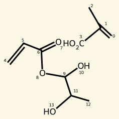 C=C(C)C(=O)O.C=CC(=O)OC(O)C(C)O